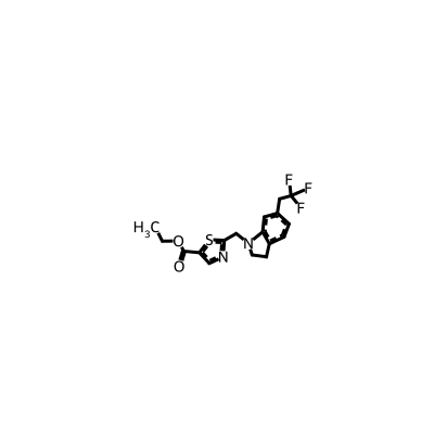 CCOC(=O)c1cnc(CN2CCc3ccc(CC(F)(F)F)cc32)s1